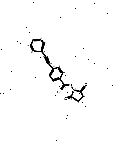 O=C(ON1C(=O)CCC1=O)c1ccc(C#Cc2ccccc2)cc1